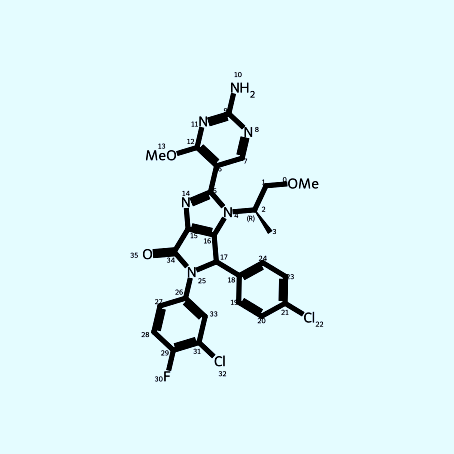 COC[C@@H](C)n1c(-c2cnc(N)nc2OC)nc2c1C(c1ccc(Cl)cc1)N(c1ccc(F)c(Cl)c1)C2=O